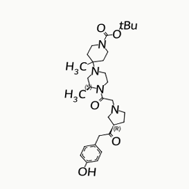 C[C@H]1CN(C2(C)CCN(C(=O)OC(C)(C)C)CC2)CCN1C(=O)CN1CC[C@@H](C(=O)Cc2ccc(O)cc2)C1